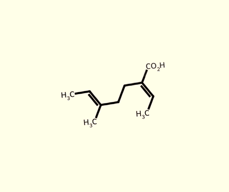 CC=C(C)CCC(=CC)C(=O)O